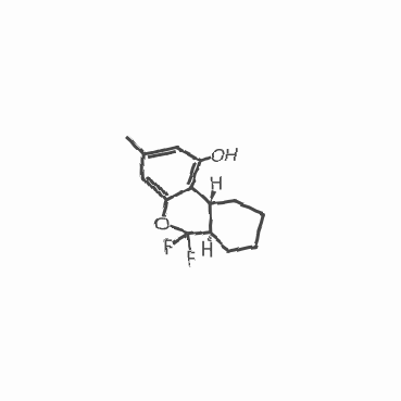 Cc1cc(O)c2c(c1)OC(F)(F)[C@@H]1CCCC[C@@H]21